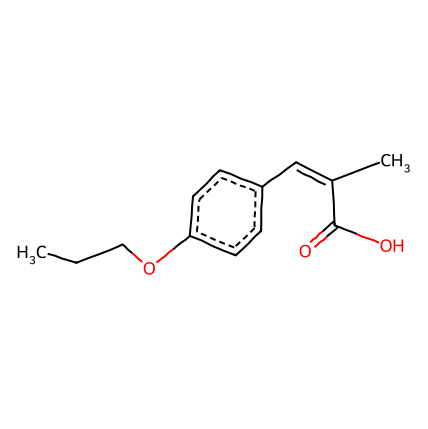 CCCOc1ccc(C=C(C)C(=O)O)cc1